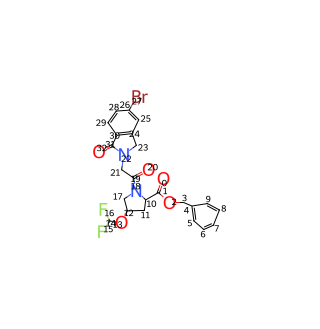 O=C(OCc1ccccc1)C1C[C@@H](OC(F)F)CN1C(=O)CN1Cc2cc(Br)ccc2C1=O